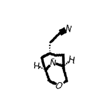 CN1[C@@H]2COC[C@H]1C[C@H](CC#N)C2